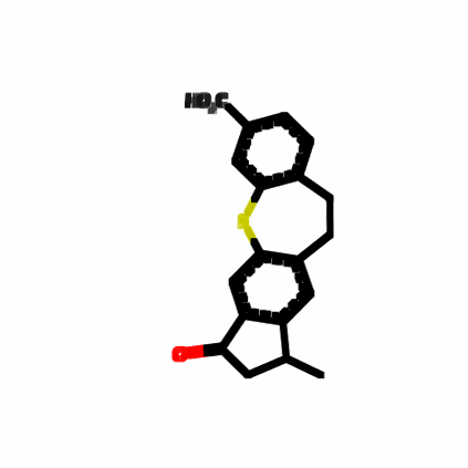 CC1CC(=O)c2cc3c(cc21)CCc1ccc(C(=O)O)cc1S3